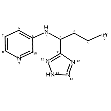 CC(C)CCC(Nc1cccnc1)c1nn[nH]n1